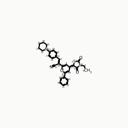 CCN1C(=O)S/C(=C2\C=C(C(C#N)=Cc3ccc(N4CCCCC4)cc3)OC(c3ccccc3)=C2)C1=O